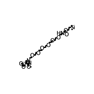 COc1nn(CCOCCOCCOCCOCCOCCOCCNC(=O)OCC[Si](C)(C)C)cc1[N+](=O)[O-]